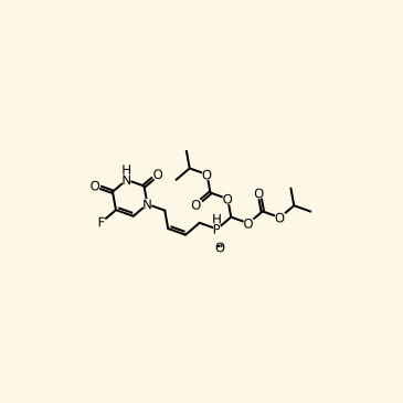 CC(C)OC(=O)OC(OC(=O)OC(C)C)[PH](=O)C/C=C\Cn1cc(F)c(=O)[nH]c1=O